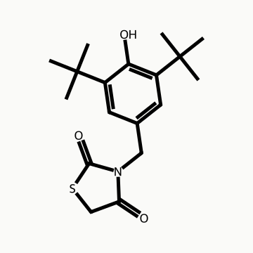 CC(C)(C)c1cc(CN2C(=O)CSC2=O)cc(C(C)(C)C)c1O